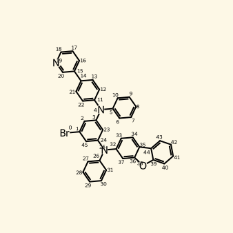 Brc1cc(N(c2ccccc2)c2ccc(-c3cccnc3)cc2)cc(N(c2ccccc2)c2ccc3c(c2)oc2ccccc23)c1